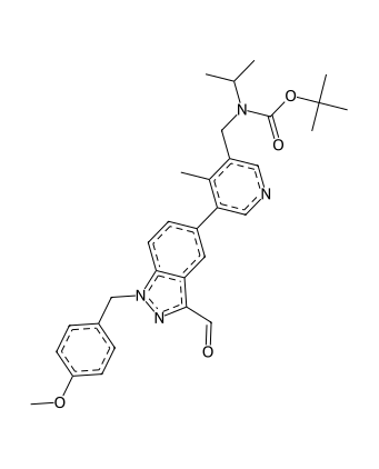 COc1ccc(Cn2nc(C=O)c3cc(-c4cncc(CN(C(=O)OC(C)(C)C)C(C)C)c4C)ccc32)cc1